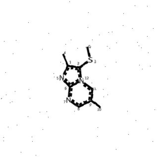 CSc1c(C)nc2ncc(C)cn12